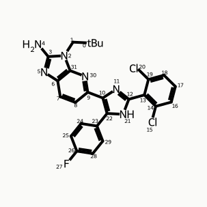 CC(C)(C)Cn1c(N)nc2ccc(-c3nc(-c4c(Cl)cccc4Cl)[nH]c3-c3ccc(F)cc3)nc21